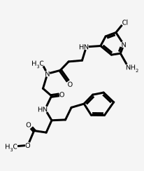 COC(=O)CC(CCc1ccccc1)NC(=O)CN(C)C(=O)CCNc1cc(N)nc(Cl)c1